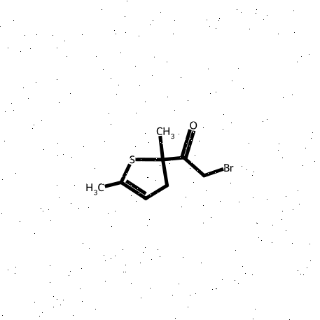 CC1=CCC(C)(C(=O)CBr)S1